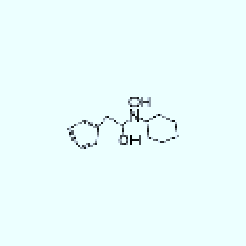 OC(Cc1ccccc1)N(O)C1CCCCC1